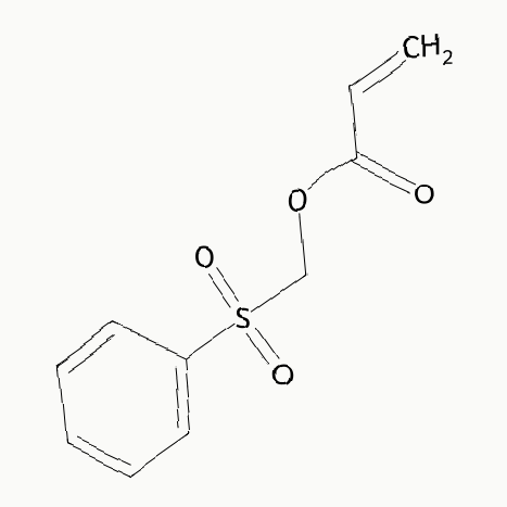 C=CC(=O)OCS(=O)(=O)c1ccccc1